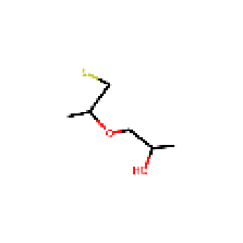 CC(O)COC(C)C[S]